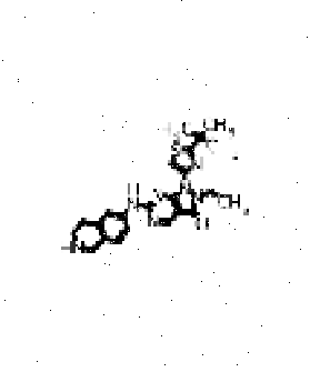 CCn1c(=O)c2cnc(Nc3ccc4c(c3)CCNC4)nc2n1-c1csc(C(C)(C)C)n1